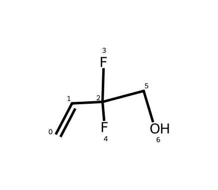 C=CC(F)(F)CO